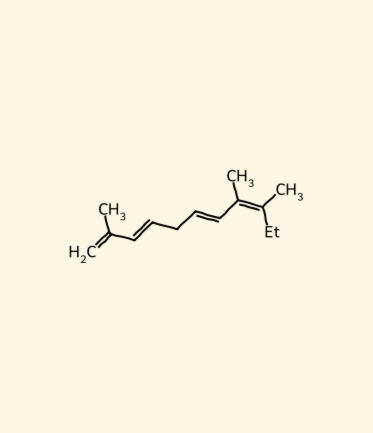 C=C(C)C=CCC=CC(C)=C(C)CC